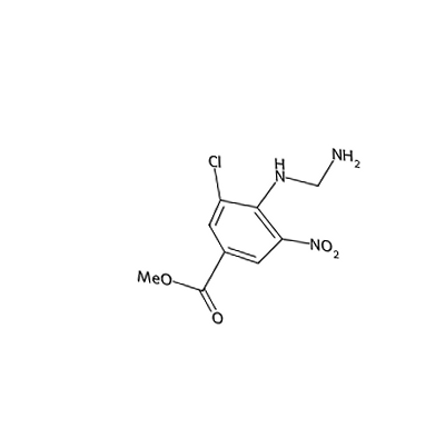 COC(=O)c1cc(Cl)c(NCN)c([N+](=O)[O-])c1